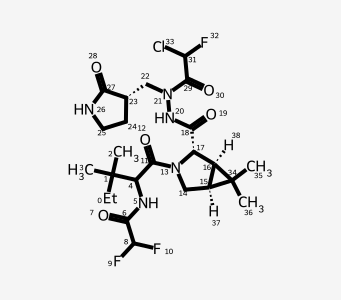 CCC(C)(C)C(NC(=O)C(F)F)C(=O)N1C[C@H]2[C@@H]([C@H]1C(=O)NN(C[C@@H]1CCNC1=O)C(=O)C(F)Cl)C2(C)C